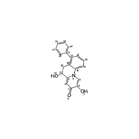 O=c1cc2n(cc1O)-c1cccc(-c3ccccc3)c1CC2O